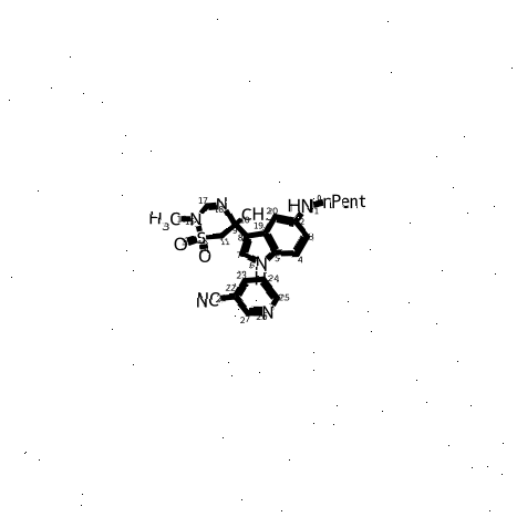 CCCCCNc1ccc2[nH]cc(C3(C)CS(=O)(=O)N(C)C=N3)c2c1.N#Cc1cccnc1